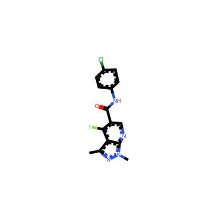 Cc1nn(C)c2ncc(C(=O)Nc3ccc(Cl)cc3)c(F)c12